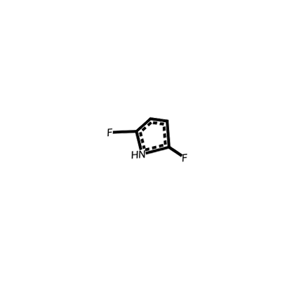 Fc1ccc(F)[nH]1